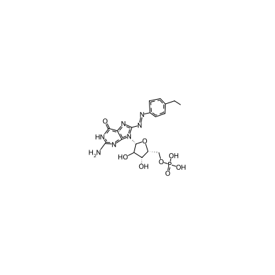 CCc1ccc(/N=N/c2nc3c(=O)[nH]c(N)nc3n2[C@@H]2O[C@H](COP(=O)(O)O)[C@H](O)C2O)cc1